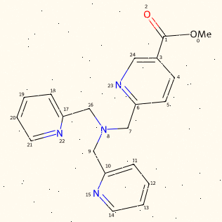 COC(=O)c1ccc(CN(Cc2ccccn2)Cc2ccccn2)nc1